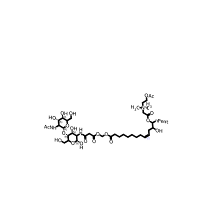 CCCCCC(OC(=O)C[N+](C)(C)CCOC(C)=O)C(O)C/C=C\CCCCCCCC(=O)OCOC(=O)CC(=O)NC1[C@@H](O)OC(CO)[C@H](O[C@H]2OC(CO)[C@H](O)[C@@H](O)C2NC(C)=O)[C@H]1O